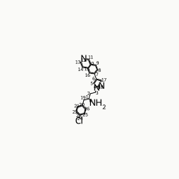 N[C@H](CCn1cc(-c2ccc3cnccc3c2)cn1)Cc1ccc(Cl)cc1